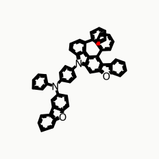 c1ccc(-c2cccc3c2c2c(-c4ccccc4)c4c(cc2n3-c2ccc(N(c3ccccc3)c3ccc5oc6ccccc6c5c3)cc2)oc2ccccc24)cc1